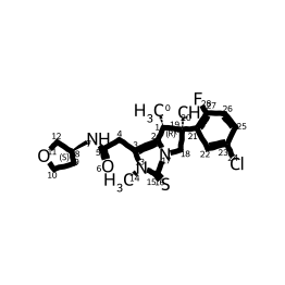 C[C@H]1c2c(CC(=O)N[C@H]3CCOC3)n(C)c(=S)n2C[C@]1(C)c1cc(Cl)ccc1F